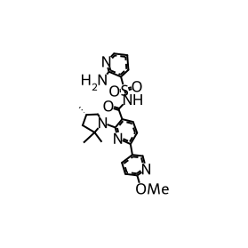 COc1ccc(-c2ccc(C(=O)NS(=O)(=O)c3cccnc3N)c(N3C[C@@H](C)CC3(C)C)n2)cn1